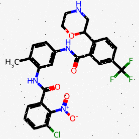 Cc1ccc(NC(=O)c2cc(C(F)(F)F)ccc2C2CNCCO2)cc1NC(=O)c1cccc(Cl)c1[N+](=O)[O-]